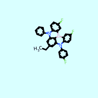 CCc1cc2c3c(c1)N(c1ccc(F)cc1)c1ccc(F)cc1B3c1cc(F)ccc1N2c1ccccc1